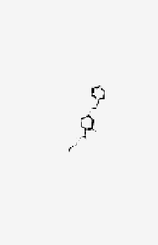 COCCNC(=O)c1ccc(OCc2cccc(F)c2)cc1F